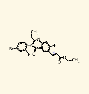 CCOC(=O)/C=C/c1cc2c(=O)n(-c3ccc(Br)cc3F)c(CC)nc2cc1F